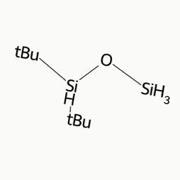 CC(C)(C)[SiH](O[SiH3])C(C)(C)C